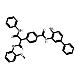 COc1ccccc1NC(=O)C(C(=O)Nc1ccccc1)c1ccc(C(=O)Nc2cc(-c3ccccc3)ccc2N)cc1